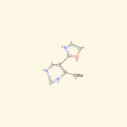 COc1n[c]ncc1-c1ncco1